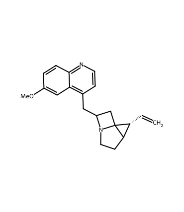 C=C[C@@H]1C2CCN3C(Cc4ccnc5ccc(OC)cc45)CC213